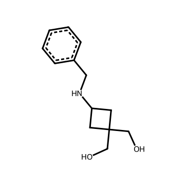 OCC1(CO)CC(NCc2ccccc2)C1